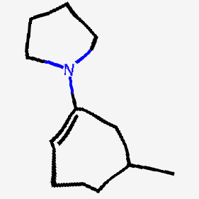 CC1CCC=C(N2CCCC2)C1